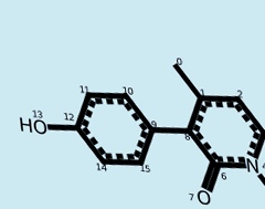 Cc1ccn(C)c(=O)c1-c1ccc(O)cc1